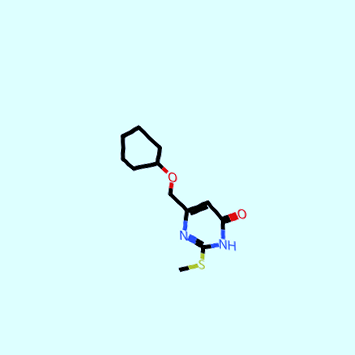 CSc1nc(COC2CCCCC2)cc(=O)[nH]1